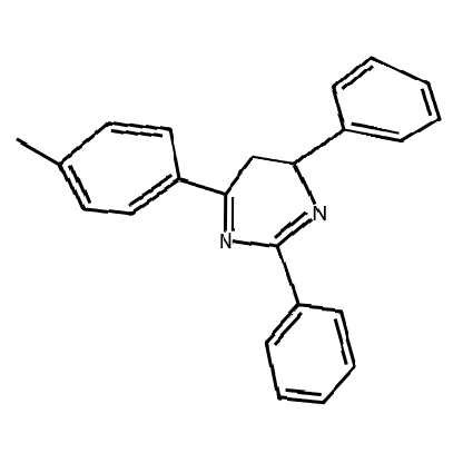 Cc1ccc(C2=NC(c3ccccc3)=NC(c3ccccc3)C2)cc1